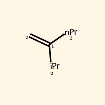 [CH2]C(C)C(=C)CCC